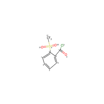 O=C(Cl)c1ccccc1S(=O)(=O)C(F)(F)F